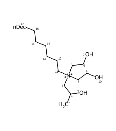 [CH2]C(O)C[N+](CCO)(CCO)CCCCCCCCCCCCCCCC